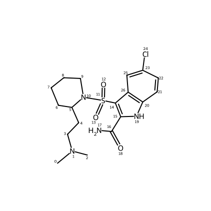 CN(C)CCC1CCCCN1S(=O)(=O)c1c(C(N)=O)[nH]c2ccc(Cl)cc12